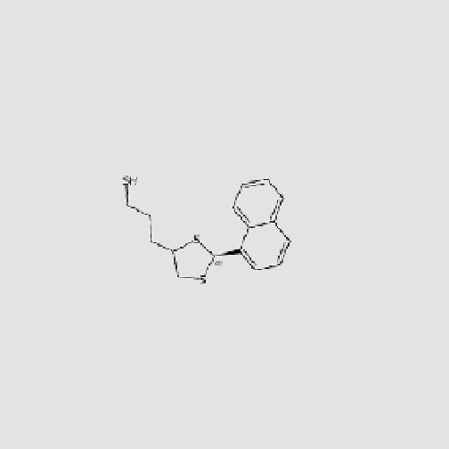 SCCCC1CS[C@H](c2cccc3ccccc23)S1